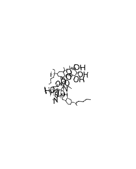 CCCCC(C)C1CCC(C[C@H](OC2C(NC(C)=O)[C@H](O[C@@H]3CC(C(I)(CC)CCCC)CC(CC)C3O[C@@H]3OC(C)[C@@H](O)C(O)C3O)OC(CO)[C@@H]2O)C(=O)N(C)C)CC1